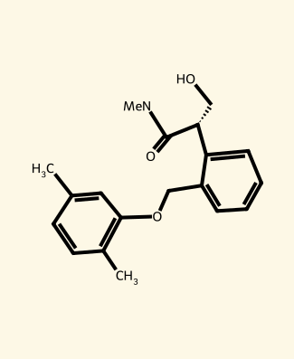 CNC(=O)[C@H](CO)c1ccccc1COc1cc(C)ccc1C